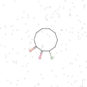 O=C1CCCCCCCC(Cl)C1=O